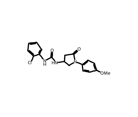 COc1ccc(N2CC(NC(=O)Nc3ccccc3Cl)CC2=O)cc1